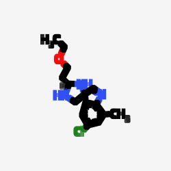 CCOCC[C@@H]1NCC2(C=Nc3c(C)cc(Cl)cc32)N1